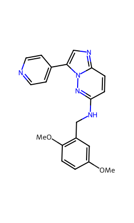 COc1ccc(OC)c(CNc2ccc3ncc(-c4ccncc4)n3n2)c1